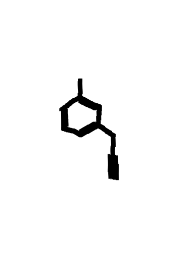 C#CCc1cc[c]c(C)c1